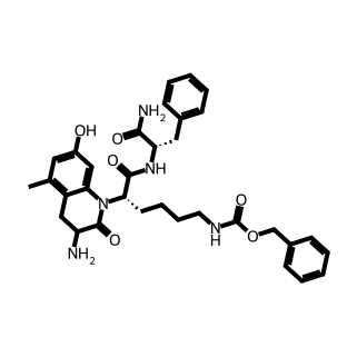 Cc1cc(O)cc2c1CC(N)C(=O)N2[C@@H](CCCCNC(=O)OCc1ccccc1)C(=O)N[C@@H](Cc1ccccc1)C(N)=O